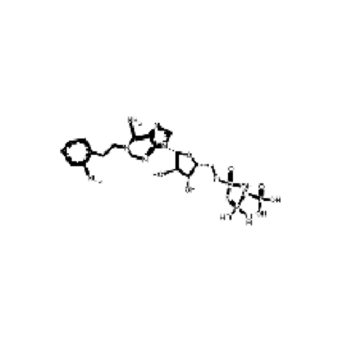 NC1=c2ncn([C@@H]3O[C@H](COP(=O)(O)N=P(O)(O)OP(=O)(O)O)[C@@H](O)[C@H]3O)c2=NCN1CCc1ccccc1[N+](=O)[O-]